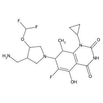 CC1c2c(c(=O)[nH]c(=O)n2C2CC2)C(O)=C(F)C1N1CC(CN)C(OC(F)F)C1